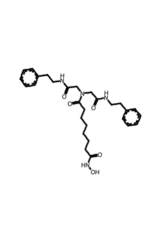 O=C(CCCCCCC(=O)N(CC(=O)NCCc1ccccc1)CC(=O)NCCc1ccccc1)NO